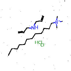 C=CCNCC=C.CCCCCCCCCCCC[N+](C)(C)C.Cl.[Cl-]